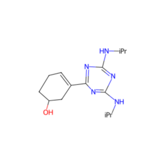 CC(C)Nc1nc(NC(C)C)nc(C2=CCCC(O)C2)n1